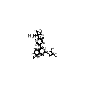 C[C@H]1[C@H](O)CN1c1nc(-c2ccc(C3(N)COC3)nc2)c2c(n1)C(F)(F)CC2